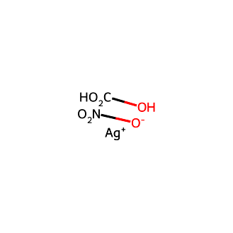 O=C(O)O.O=[N+]([O-])[O-].[Ag+]